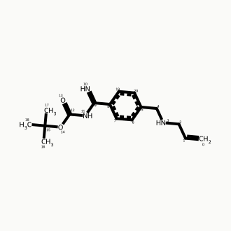 C=CCNCc1ccc(C(=N)NC(=O)OC(C)(C)C)cc1